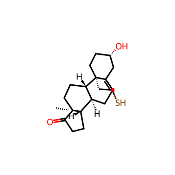 C[C@]12CC[C@H]3[C@@H](CC=C4C[C@@H](O)CC[C@@]43CCS)[C@@H]1CCC2=O